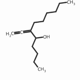 C=C=C(CCCCCC)C(O)CCCC